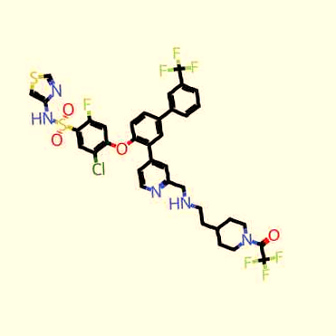 O=C(N1CCC(CCNCc2cc(-c3cc(-c4cccc(C(F)(F)F)c4)ccc3Oc3cc(F)c(S(=O)(=O)Nc4cscn4)cc3Cl)ccn2)CC1)C(F)(F)F